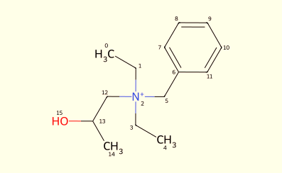 CC[N+](CC)(Cc1ccccc1)CC(C)O